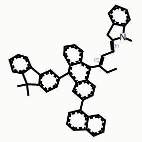 CC/C(=C\C=C1/Cc2ccccc2N1C)c1c2ccccc2c(-c2ccc3c(c2)-c2ccccc2C3(C)C)c2cc(-c3cccc4ccccc34)ccc12